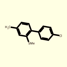 CSc1cc(C)ccc1-c1ccc(Cl)cc1